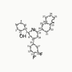 Oc1ccccc1-c1cc(-c2ccc(F)c(F)c2)cc(-c2ccc3ccccc3c2)n1